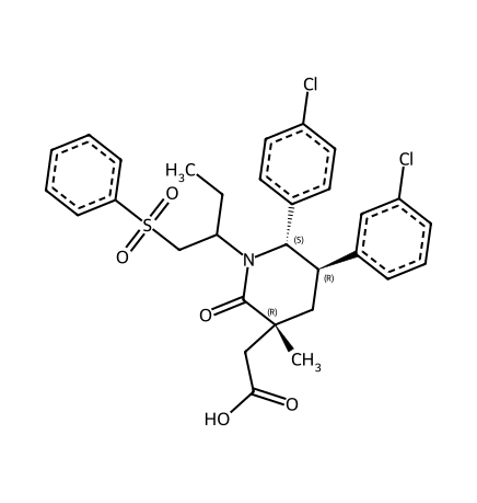 CCC(CS(=O)(=O)c1ccccc1)N1C(=O)[C@@](C)(CC(=O)O)C[C@H](c2cccc(Cl)c2)[C@H]1c1ccc(Cl)cc1